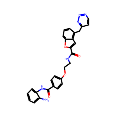 Nc1ccccc1NC(=O)c1ccc(OCCNC(=O)c2cc3c(Cc4ccnnn4)cccc3o2)cc1